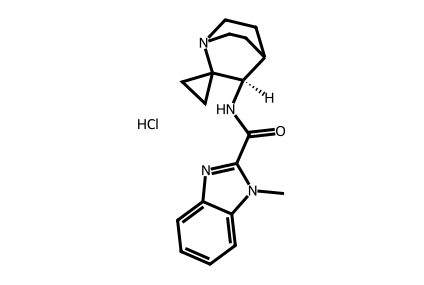 Cl.Cn1c(C(=O)N[C@@H]2C3CCN(CC3)C23CC3)nc2ccccc21